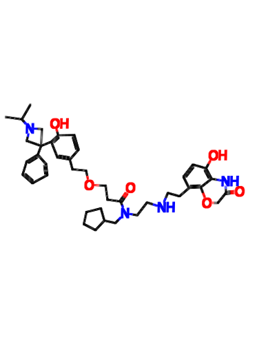 CC(C)N1CC(c2ccccc2)(c2cc(CCOCCC(=O)N(CCNCCc3ccc(O)c4c3OCC(=O)N4)CC3CCCC3)ccc2O)C1